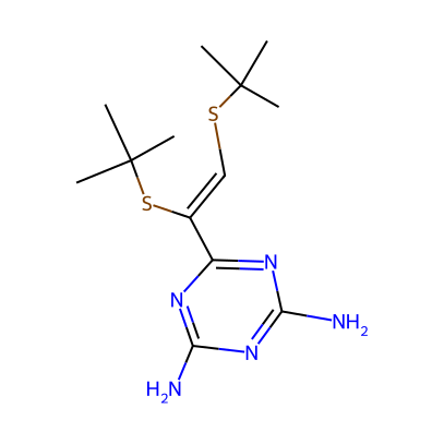 CC(C)(C)SC=C(SC(C)(C)C)c1nc(N)nc(N)n1